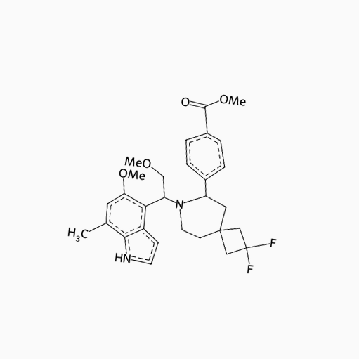 COCC(c1c(OC)cc(C)c2[nH]ccc12)N1CCC2(CC1c1ccc(C(=O)OC)cc1)CC(F)(F)C2